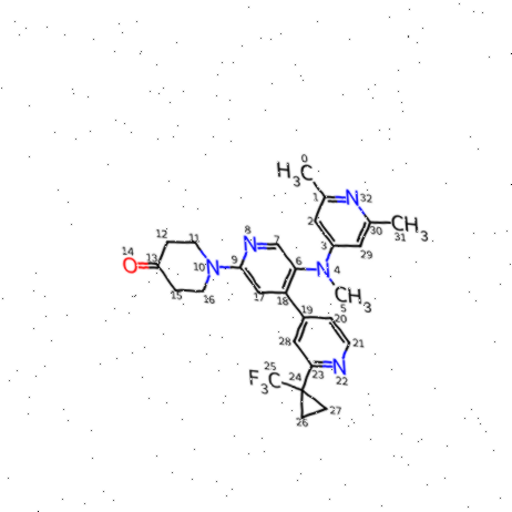 Cc1cc(N(C)c2cnc(N3CCC(=O)CC3)cc2-c2ccnc(C3(C(F)(F)F)CC3)c2)cc(C)n1